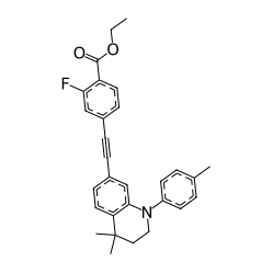 CCOC(=O)c1ccc(C#Cc2ccc3c(c2)N(c2ccc(C)cc2)CCC3(C)C)cc1F